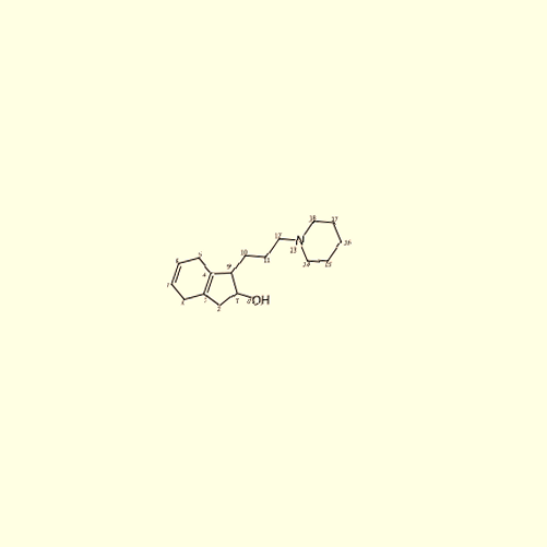 OC1CC2=C(CC=CC2)C1CCCN1CCCCC1